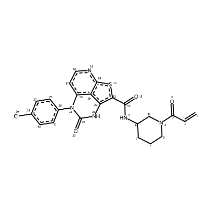 C=CC(=O)N1CCCC(NC(=O)c2sc3nccc4c3c2NC(=O)N4c2ccc(Cl)cc2)C1